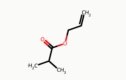 [CH2]C(C)C(=O)OCC=C